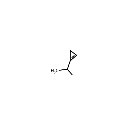 CC(I)C1=CC1